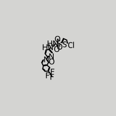 O=C(Nc1ccc(-n2ccc3ccc(C(F)(F)F)cc3c2=O)nc1)NS(=O)(=O)C1=CCC(Cl)S1